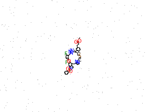 CCOC(=O)CCc1cccc(C2(C)CCSCCn3ccc(n3)Cc3c(c(F)cc4c3ccn4S(=O)(=O)c3ccccc3)Oc3ccc(F)c(c3)-c3nc2nn3C)c1